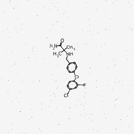 CC(C)(NCc1ccc(Oc2ccc(Cl)cc2F)cc1)C(N)=O